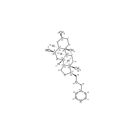 C[C@H]1CC[C@@]2(C)[C@H](C1)[C@H](O)C[C@@H]1[C@@H]2CC[C@]2(C)[C@@H](COCc3ccccc3)CC[C@@H]12